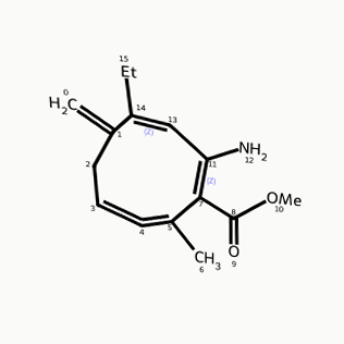 C=C1CC=C=C(C)/C(C(=O)OC)=C(N)\C=C/1CC